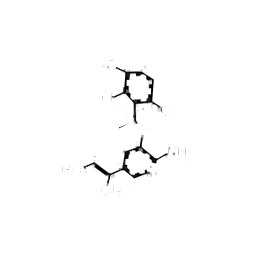 C[C@H](Oc1cc(C(O)=CO)cnc1N)c1c(Cl)ccc(F)c1Cl